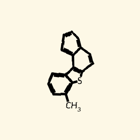 Cc1cccc2c1sc1ccc3ccccc3c12